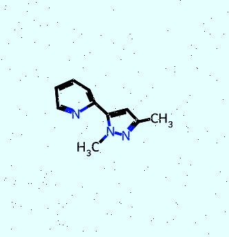 Cc1cc(-c2ccccn2)n(C)n1